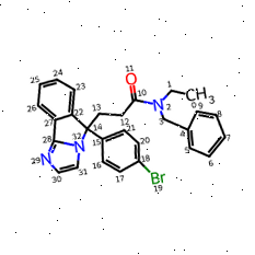 CCN(Cc1ccccc1)C(=O)CCC1(c2ccc(Br)cc2)c2ccccc2-c2nccn21